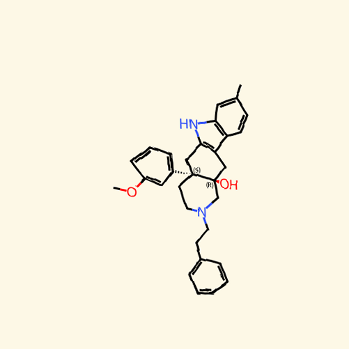 COc1cccc([C@@]23CCN(CCc4ccccc4)C[C@@]2(O)Cc2c([nH]c4cc(C)ccc24)C3)c1